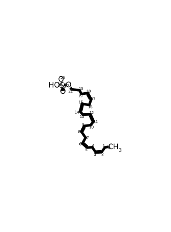 CC/C=C\C/C=C\C/C=C\C/C=C\C/C=C\C/C=C\CCCOS(=O)(=O)O